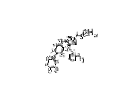 CCCc1nc(CSC)sc1Cc1ccc(-c2[c]cccc2)cc1